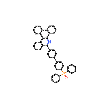 O=P(c1ccccc1)(c1ccccc1)c1ccc(-c2ccc(-c3nc4c5ccccc5c5ccccc5c4c4ccccc34)cc2)cc1